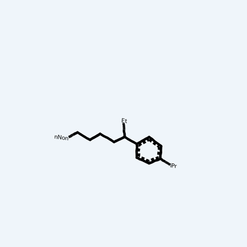 CCCCCCCCCCCCCC(CC)c1ccc(C(C)C)cc1